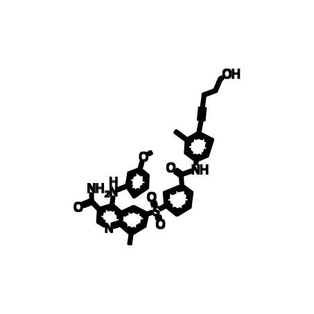 COc1cccc(Nc2c(C(N)=O)cnc3c(C)cc(S(=O)(=O)c4cccc(C(=O)Nc5ccc(C#CCCCO)c(C)c5)c4)cc23)c1